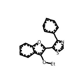 CCOc1c(-c2scnc2-c2ccccc2)oc2ccccc12